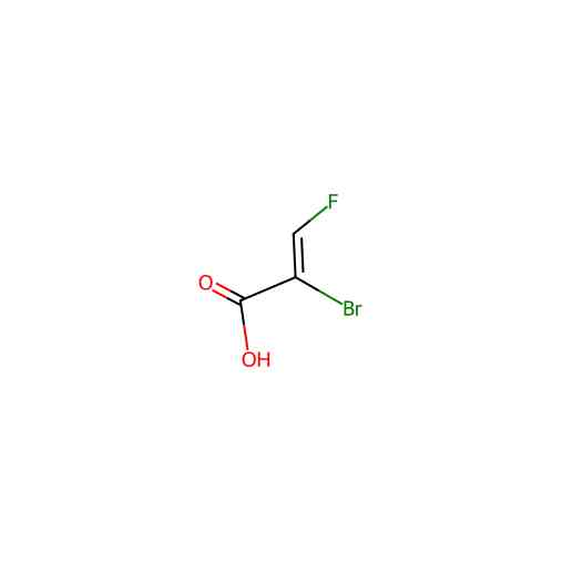 O=C(O)/C(Br)=C/F